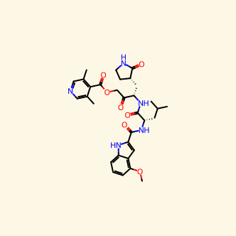 COc1cccc2[nH]c(C(=O)N[C@@H](CC(C)C)C(=O)N[C@@H](C[C@@H]3CCNC3=O)C(=O)COC(=O)c3c(C)cncc3C)cc12